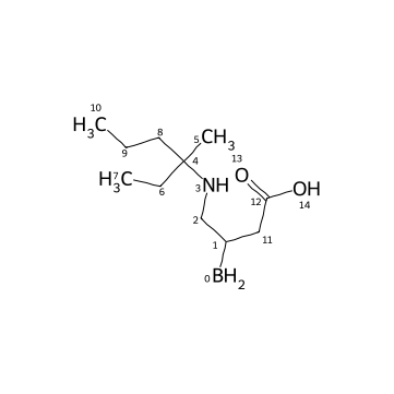 BC(CNC(C)(CC)CCC)CC(=O)O